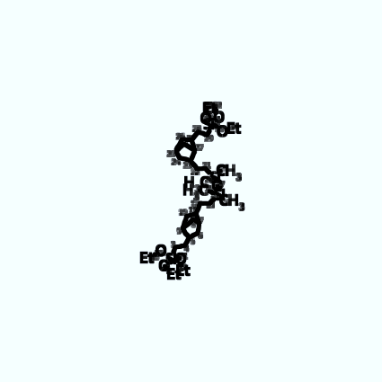 CCO[Si](CCC1CC2CC1CC2CC[Si](C)(C)O[Si](C)(C)CCC1CC2CC(CC[Si](OCC)(OCC)OCC)C1C2)(OCC)OCC